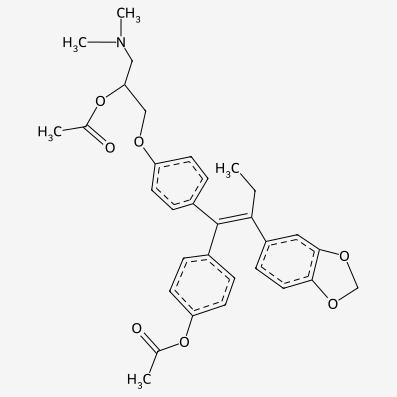 CCC(=C(c1ccc(OCC(CN(C)C)OC(C)=O)cc1)c1ccc(OC(C)=O)cc1)c1ccc2c(c1)OCO2